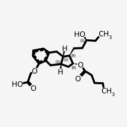 CCCCC(=O)O[C@@H]1C[C@@H]2Cc3c(cccc3OCC(=O)O)C[C@@H]2[C@H]1CC[C@@H](O)CC